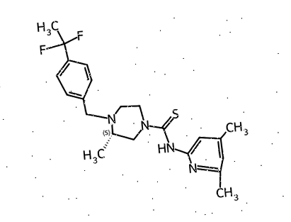 Cc1cc(C)nc(NC(=S)N2CCN(Cc3ccc(C(C)(F)F)cc3)[C@@H](C)C2)c1